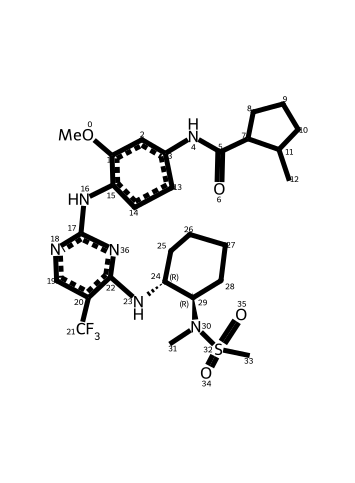 COc1cc(NC(=O)C2CCCC2C)ccc1Nc1ncc(C(F)(F)F)c(N[C@@H]2CCCC[C@H]2N(C)S(C)(=O)=O)n1